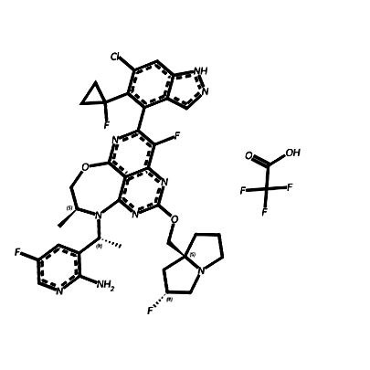 C[C@H](c1cc(F)cnc1N)N1c2nc(OC[C@@]34CCCN3C[C@H](F)C4)nc3c(F)c(-c4c(C5(F)CC5)c(Cl)cc5[nH]ncc45)nc(c23)OC[C@@H]1C.O=C(O)C(F)(F)F